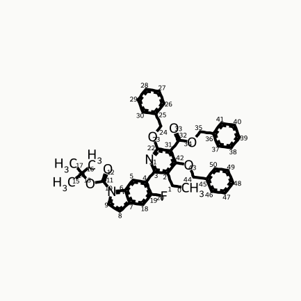 CCc1c(-c2cc3c(ccn3C(=O)OC(C)(C)C)cc2F)nc(OCc2ccccc2)c(C(=O)OCc2ccccc2)c1OCc1ccccc1